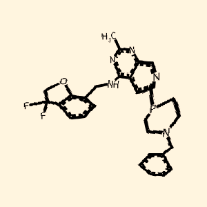 Cc1nc(NCc2cccc3c2OCC3(F)F)c2cc(P3CCN(Cc4ccccc4)CC3)ncc2n1